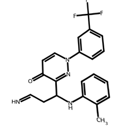 Cc1ccccc1NC(CC=N)c1nn(-c2cccc(C(F)(F)F)c2)ccc1=O